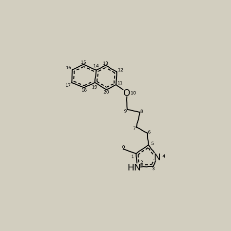 Cc1[nH]cnc1CCCCOc1ccc2ccccc2c1